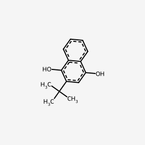 CC(C)(C)c1cc(O)c2ccccc2c1O